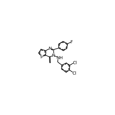 C=C1c2sccc2N=C(c2ccc(F)cc2)N1NCc1ccc(Cl)c(Cl)c1